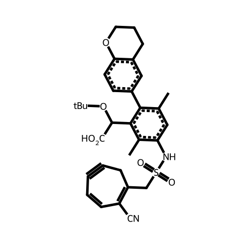 Cc1cc(NS(=O)(=O)CC2=C(C#N)C=CC#CC2)c(C)c(C(OC(C)(C)C)C(=O)O)c1-c1ccc2c(c1)CCCO2